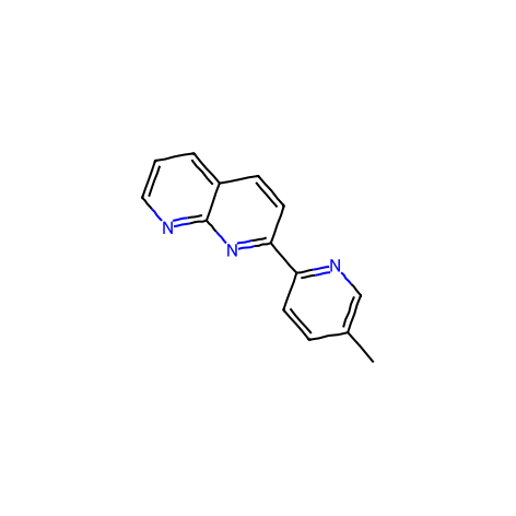 Cc1ccc(-c2ccc3cccnc3n2)nc1